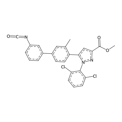 COC(=O)c1cc(-c2ccc(-c3cccc(N=C=O)c3)cc2C)n(-c2c(Cl)cccc2Cl)n1